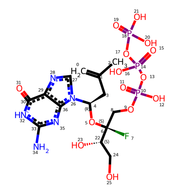 C=C(C)C[C@@H](O[C@](F)(COP(=O)(O)OP(=O)(O)OP(=O)(O)O)[C@@H](O)CO)n1cnc2c(=O)[nH]c(N)nc21